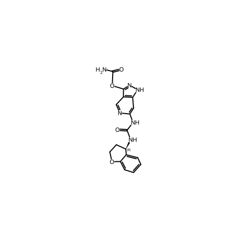 NC(=O)Oc1n[nH]c2cc(NC(=O)N[C@@H]3CCOc4ccccc43)ncc12